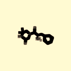 CC1(C)CN(C(=O)[C@@H](N)Cc2ccccc2)CC(=O)N1